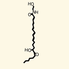 CCCCCC1OC1C(O)CCCC=CC=CC=CC=CC=CC(=O)NCCO